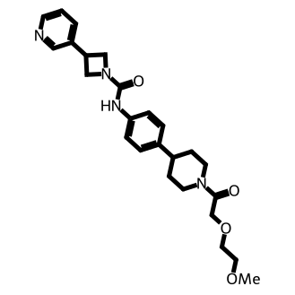 COCCOCC(=O)N1CCC(c2ccc(NC(=O)N3CC(c4cccnc4)C3)cc2)CC1